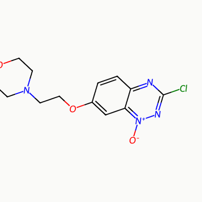 [O-][n+]1nc(Cl)nc2ccc(OCCN3CCOCC3)cc21